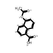 CC(=O)Oc1cccc2c(C(=O)O)cccc12